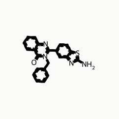 Nc1nc2cc(-c3nc4ccccc4c(=O)n3Cc3ccccc3)ccc2s1